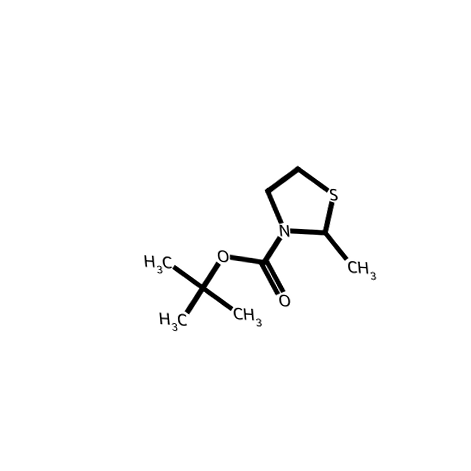 CC1SCCN1C(=O)OC(C)(C)C